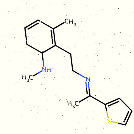 CNC1CC=CC(C)=C1CC/N=C(\C)c1cccs1